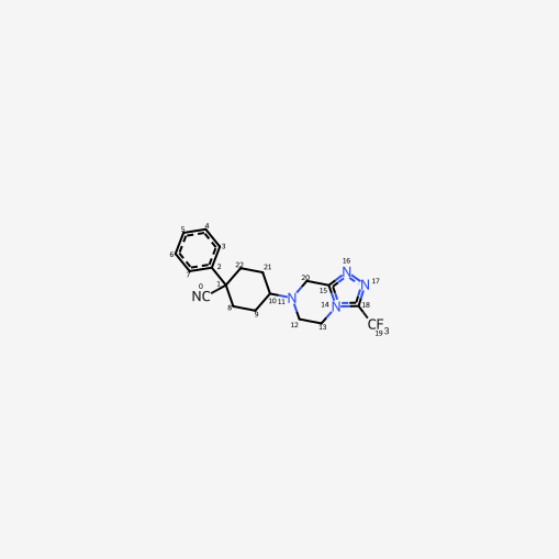 N#CC1(c2ccccc2)CCC(N2CCn3c(nnc3C(F)(F)F)C2)CC1